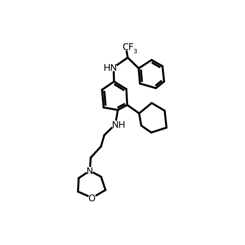 FC(F)(F)C(Nc1ccc(NCCCN2CCOCC2)c(C2CCCCC2)c1)c1ccccc1